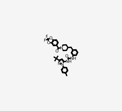 Cc1ccc(-n2nc(C(C)(C)C)cc2NC(=O)Nc2cccc(CC3CCN(C(=O)c4ccc5c(c4)OC(F)(F)O5)CC3)c2)cc1